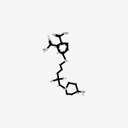 O=C(O)c1ccc(OCCCC(F)(F)CN2CCC(O)CC2)cc1C(=O)O